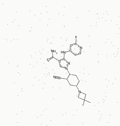 CC1(C)CN(C2CCC(n3cc(C(N)=O)c(Nc4ccnc(F)c4)n3)C(C#N)C2)C1